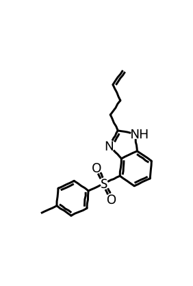 C=CCCc1nc2c(S(=O)(=O)c3ccc(C)cc3)cccc2[nH]1